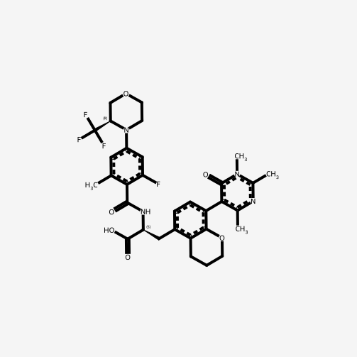 Cc1cc(N2CCOC[C@@H]2C(F)(F)F)cc(F)c1C(=O)N[C@@H](Cc1ccc(-c2c(C)nc(C)n(C)c2=O)c2c1CCCO2)C(=O)O